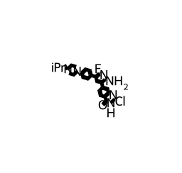 CC(C)N1CCN(c2ccc(-c3cc(-c4ccc5c(=O)[nH]c(Cl)nc5c4)c(N)nc3F)cc2)CC1